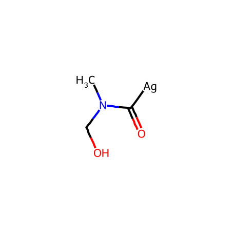 CN(CO)[C](=O)[Ag]